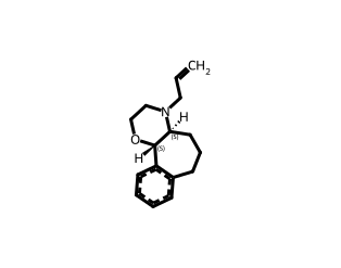 C=CCN1CCO[C@H]2c3ccccc3CCC[C@@H]21